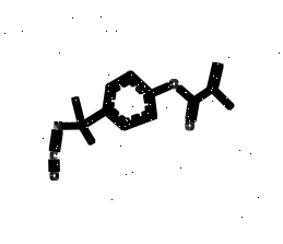 C=C(C)C(=O)Oc1ccc(C(C)(C)N=C=O)cc1